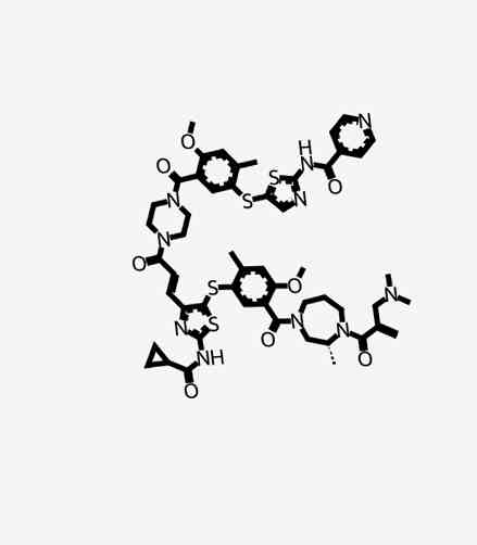 C=C(CN(C)C)C(=O)N1CCCN(C(=O)c2cc(Sc3sc(NC(=O)C4CC4)nc3/C=C/C(=O)N3CCN(C(=O)c4cc(Sc5cnc(NC(=O)c6ccncc6)s5)c(C)cc4OC)CC3)c(C)cc2OC)C[C@H]1C